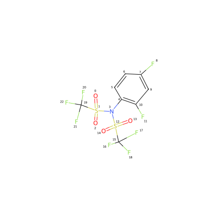 O=S(=O)(N(c1ccc(F)cc1F)S(=O)(=O)C(F)(F)F)C(F)(F)F